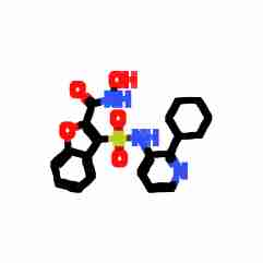 O=C(NO)c1oc2ccccc2c1S(=O)(=O)Nc1cccnc1C1CCCCC1